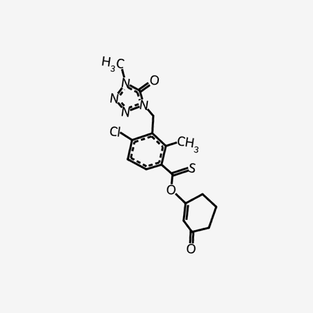 Cc1c(C(=S)OC2=CC(=O)CCC2)ccc(Cl)c1Cn1nnn(C)c1=O